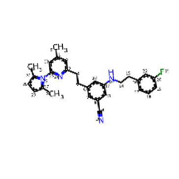 Cc1cc(CCc2cc(C#N)cc(NCCc3cccc(F)c3)c2)nc(-n2c(C)ccc2C)c1